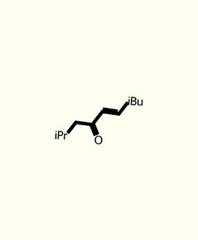 CCC(C)C=CC(=O)CC(C)C